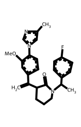 C=C(c1ccc(-n2cnc(C)c2)c(OC)c1)C1CCCN(C(C)c2ccc(F)cc2)C1=O